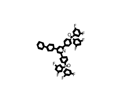 O=P(c1ccc(-c2cc(-c3ccc(-c4ccccc4)cc3)cc(-c3ccc(P(=O)(c4cc(F)cc(F)c4)c4cc(F)cc(F)c4)cc3)n2)cc1)(c1cc(F)cc(F)c1)c1cc(F)cc(F)c1